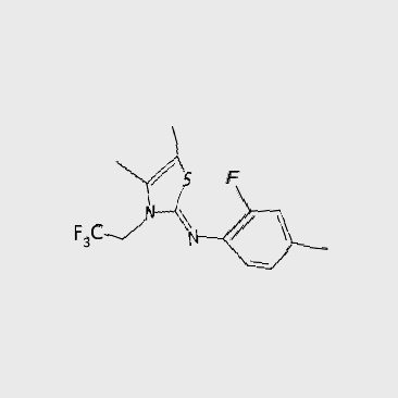 Cc1ccc(/N=c2\sc(C)c(C)n2CC(F)(F)F)c(F)c1